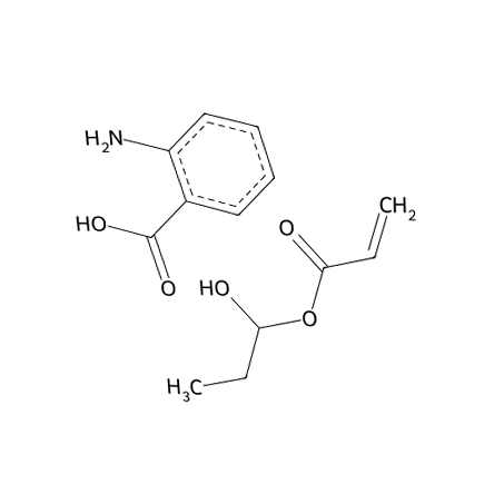 C=CC(=O)OC(O)CC.Nc1ccccc1C(=O)O